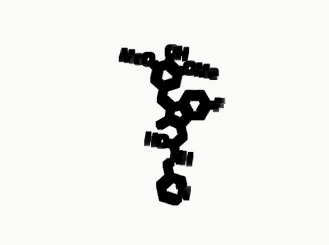 COc1cc(/C=C2/C(C)=C(CC(O)NCc3cccnc3)c3cc(F)ccc32)cc(OC)c1O